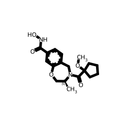 COC1(C(=O)N2Cc3ccc(C(=O)NO)cc3OC[C@@H]2C)CCCC1